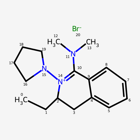 CCC1Cc2ccccc2C(N(C)C)=[N+]1N1CCCC1.[Br-]